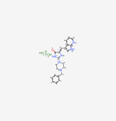 Cl.Cl.Cl.O=C1NC(N2CCN(Cc3ccccc3)CC2)=N/C1=C\c1c[nH]c2ncccc12